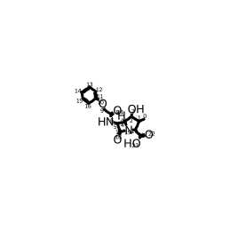 CC1C(O)[C@@H]2C(NC(=O)COc3ccccc3)C(=O)N2C1C(=O)O